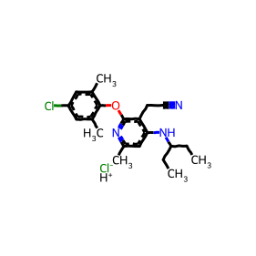 CCC(CC)Nc1cc(C)nc(Oc2c(C)cc(Cl)cc2C)c1CC#N.[Cl-].[H+]